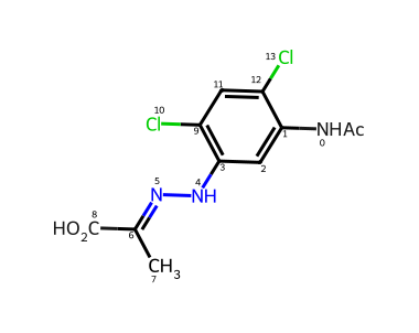 CC(=O)Nc1cc(NN=C(C)C(=O)O)c(Cl)cc1Cl